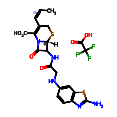 C/C=C\C1=C(C(=O)O)N2C(=O)C(NC(=O)CNc3ccc4nc(N)sc4c3)[C@@H]2SC1.O=C(O)C(F)(F)F